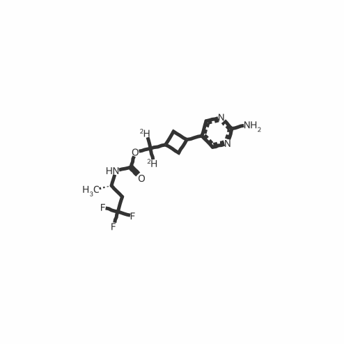 [2H]C([2H])(OC(=O)N[C@@H](C)CC(F)(F)F)C1CC(c2cnc(N)nc2)C1